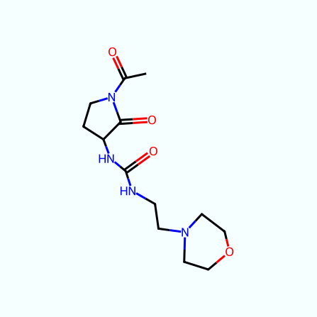 CC(=O)N1CCC(NC(=O)NCCN2CCOCC2)C1=O